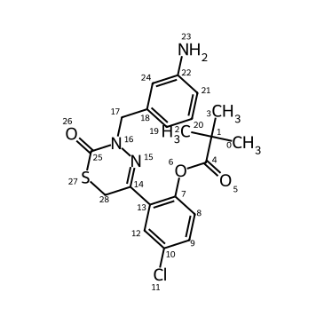 CC(C)(C)C(=O)Oc1ccc(Cl)cc1C1=NN(Cc2cccc(N)c2)C(=O)SC1